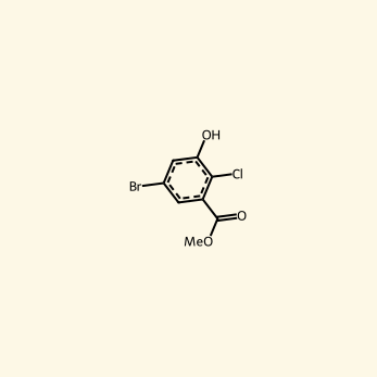 COC(=O)c1cc(Br)cc(O)c1Cl